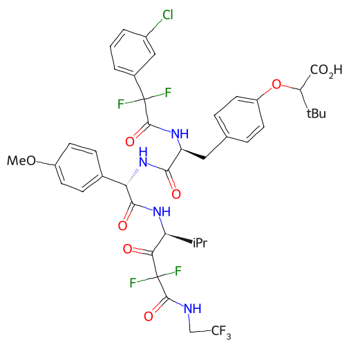 COc1ccc([C@H](NC(=O)[C@H](Cc2ccc(OC(C(=O)O)C(C)(C)C)cc2)NC(=O)C(F)(F)c2cccc(Cl)c2)C(=O)N[C@H](C(=O)C(F)(F)C(=O)NCC(F)(F)F)C(C)C)cc1